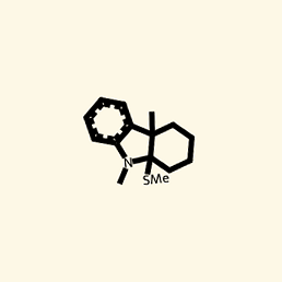 CSC12CCCCC1(C)c1ccccc1N2C